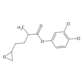 CC(CCC1CO1)C(=O)Oc1ccc(Cl)c(Cl)c1